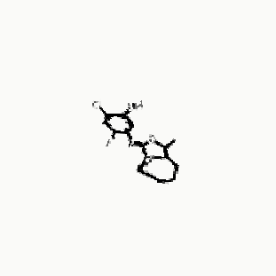 CC1O/C(=N\c2cc(O)c(Cl)cc2F)N2CCCCC12